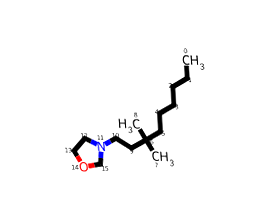 CCCCCCC(C)(C)CCN1CCOC1